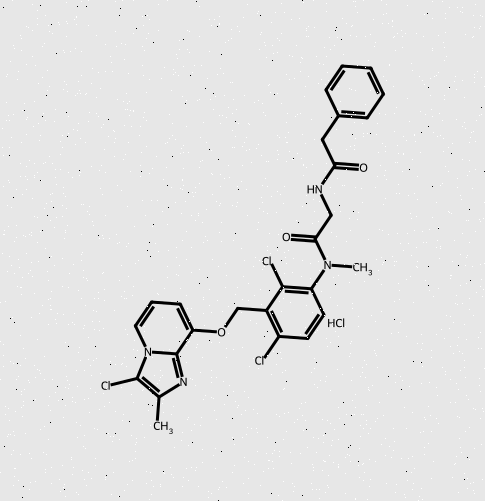 Cc1nc2c(OCc3c(Cl)ccc(N(C)C(=O)CNC(=O)Cc4ccccc4)c3Cl)cccn2c1Cl.Cl